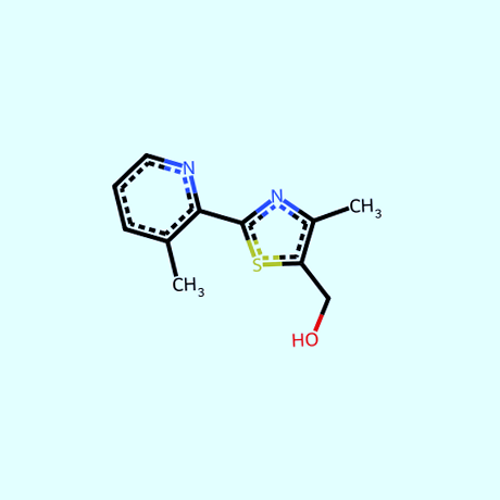 Cc1cccnc1-c1nc(C)c(CO)s1